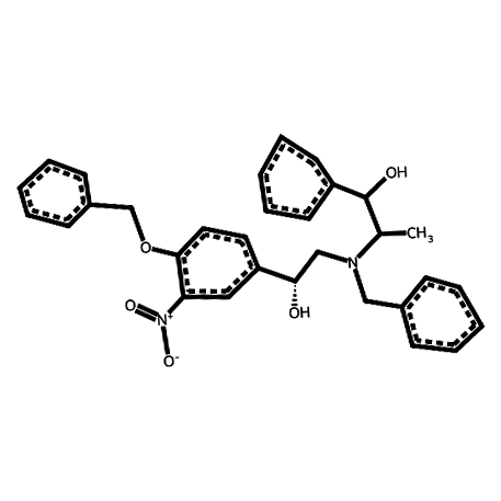 CC(C(O)c1ccccc1)N(Cc1ccccc1)C[C@H](O)c1ccc(OCc2ccccc2)c([N+](=O)[O-])c1